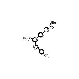 CC(C)(C)OC(=O)N1CCC(c2ccc(-c3cc(C(=O)O)cc(-c4cn(-c5ccc(C(F)(F)F)cc5)nn4)c3)cc2)CC1